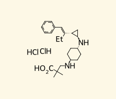 CC/C(=C\c1ccccc1)[C@@H]1C[C@H]1N[C@H]1CC[C@H](NCC(C)(C)C(=O)O)CC1.Cl.Cl